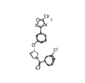 O=C(c1cccc(Cl)c1)N1CC[C@H](Oc2cccc(-c3noc(C(F)(F)F)n3)c2)C1